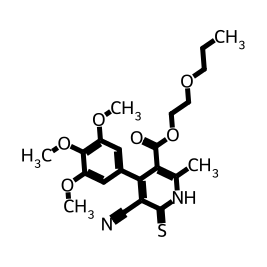 CCCOCCOC(=O)c1c(C)[nH]c(=S)c(C#N)c1-c1cc(OC)c(OC)c(OC)c1